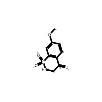 COc1ccc2c(c1)S(=O)(=O)NCC2=O